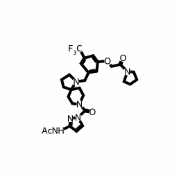 CC(=O)Nc1ccn(C(=O)N2CCC3(CCCN3Cc3cc(OCC(=O)N4CCCC4)cc(C(F)(F)F)c3)CC2)n1